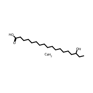 CCC(O)CCCCCCCCCCCCCCC(=O)O.[CaH2]